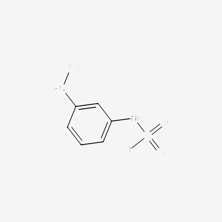 O=S(=O)(I)Nc1cccc(NP)c1